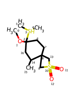 COC1([SH](C)C)CCC2(CS(=O)(=O)C2)C(C)C1